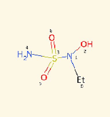 CCN(O)S(N)(=O)=O